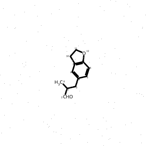 CC(C=O)Cc1ccc2c(c1)CCO2